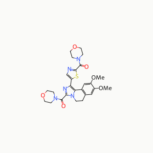 COc1cc2c(cc1OC)-c1c(-c3cnc(C(=O)N4CCOCC4)s3)nc(C(=O)N3CCOCC3)n1CC2